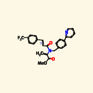 C=C(C(=O)OC)N(Cc1ccc(-c2ccccn2)cc1)C(=O)/C=C/c1ccc(C(F)(F)F)cc1